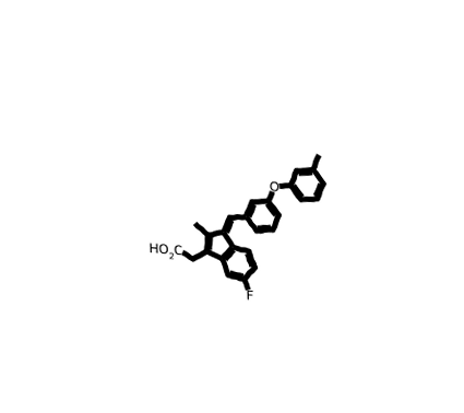 CC1=C(CC(=O)O)c2cc(F)ccc2/C1=C\c1cccc(Oc2cccc(C)c2)c1